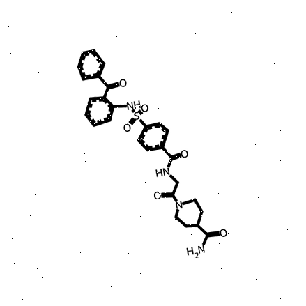 NC(=O)C1CCN(C(=O)CNC(=O)c2ccc(S(=O)(=O)Nc3ccccc3C(=O)c3ccccc3)cc2)CC1